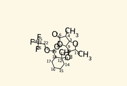 CC1OC2C(C)C(=O)OC2C1OC1(C)CCCCC1C(=O)OCC(F)(F)F